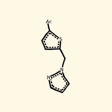 CC(=O)c1ccc(Cn2cccn2)s1